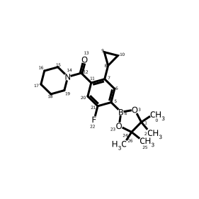 CC1(C)OB(c2cc(C3CC3)c(C(=O)N3CCCCC3)cc2F)OC1(C)C